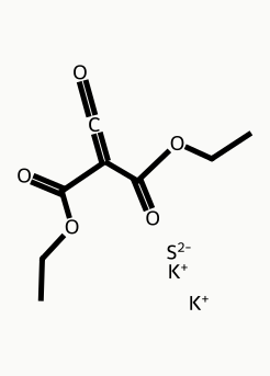 CCOC(=O)C(=C=O)C(=O)OCC.[K+].[K+].[S-2]